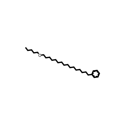 CCCCCOCCCCCCCCCCCCCCCCc1ccccc1